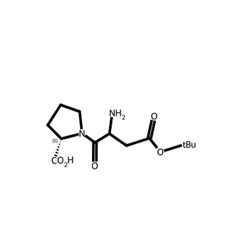 CC(C)(C)OC(=O)CC(N)C(=O)N1CCC[C@H]1C(=O)O